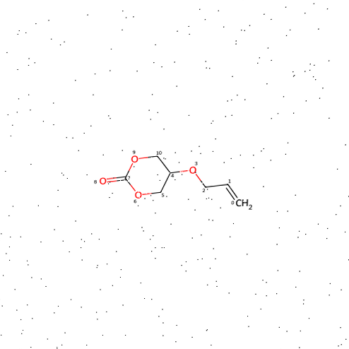 C=CCOC1COC(=O)OC1